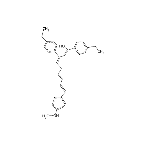 CCc1ccc(/C(O)=C/C(=C\C/C=C/C=C/c2ccc(NC)cc2)c2ccc(CC)cc2)cc1